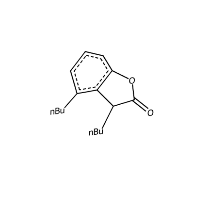 CCCCc1cccc2c1C(CCCC)C(=O)O2